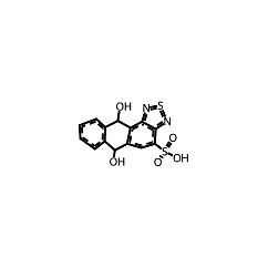 O=S(=O)(O)c1cc2c(c3nsnc13)C(O)c1ccccc1C2O